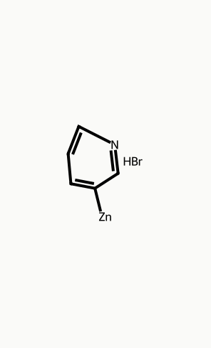 Br.[Zn][c]1cccnc1